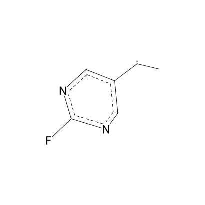 C[CH]c1cnc(F)nc1